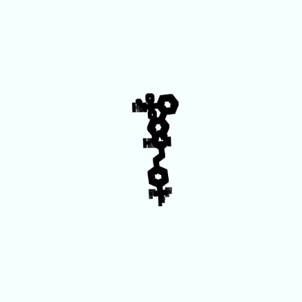 CNS(=O)(=O)c1ccccc1-c1ccc2[nH]c(CCc3ccc(C(F)(F)F)cc3)nc2c1